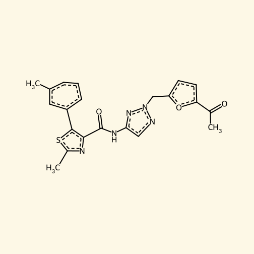 CC(=O)c1ccc(Cn2ncc(NC(=O)c3nc(C)sc3-c3cccc(C)c3)n2)o1